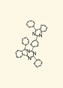 c1ccc(-c2nc(-c3ccc(-c4nc(-c5ccccc5)c5ccccc5n4)cc3)n3c(-c4ccccc4)c4ccccc4c3n2)cc1